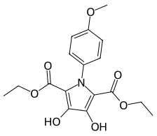 CCOC(=O)c1c(O)c(O)c(C(=O)OCC)n1-c1ccc(OC)cc1